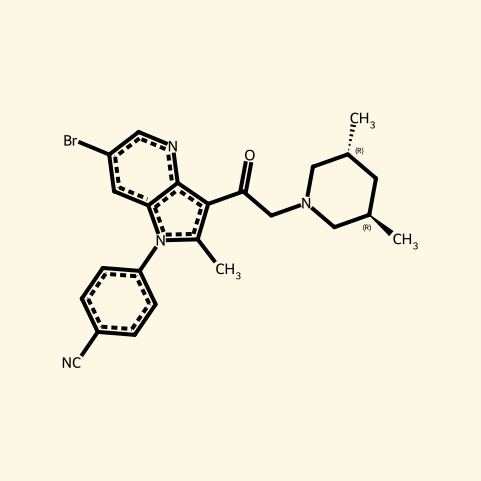 Cc1c(C(=O)CN2C[C@H](C)C[C@@H](C)C2)c2ncc(Br)cc2n1-c1ccc(C#N)cc1